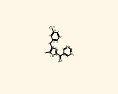 Cc1sc(C(=O)c2cncnc2)nc1Cc1cccc(Cl)c1